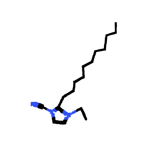 CCCCCCCCCCCc1n(C#N)cc[n+]1CC